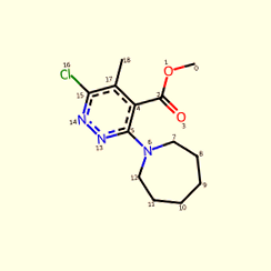 COC(=O)c1c(N2CCCCCC2)nnc(Cl)c1C